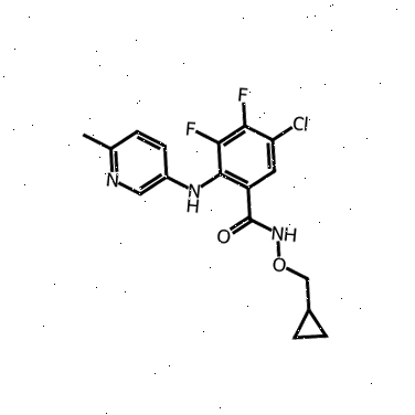 Cc1ccc(Nc2c(C(=O)NOCC3CC3)cc(Cl)c(F)c2F)cn1